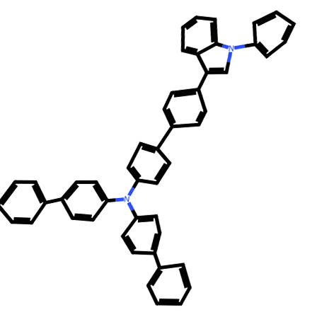 c1ccc(-c2ccc(N(c3ccc(-c4ccccc4)cc3)c3ccc(-c4ccc(-c5cn(-c6ccccc6)c6ccccc56)cc4)cc3)cc2)cc1